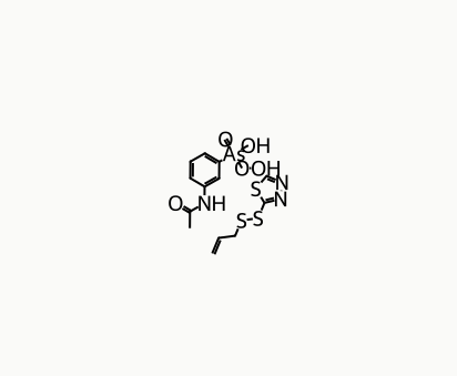 C=CCSSc1nncs1.CC(=O)Nc1cccc([As](=O)(O)OO)c1